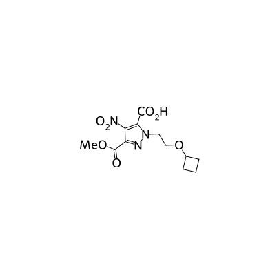 COC(=O)c1nn(CCOC2CCC2)c(C(=O)O)c1[N+](=O)[O-]